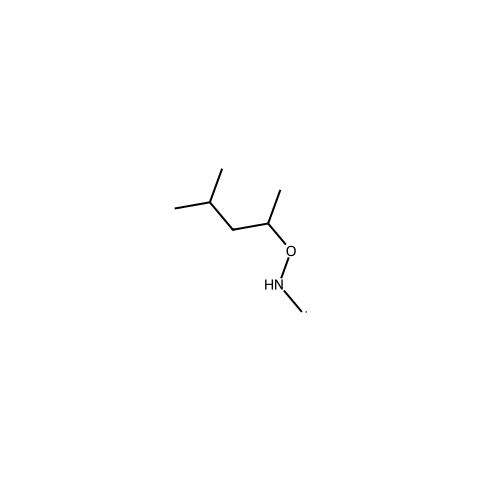 [CH2]NOC(C)CC(C)C